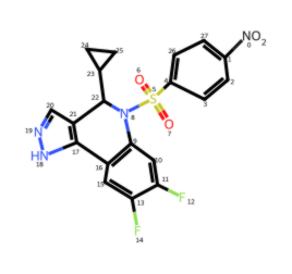 O=[N+]([O-])c1ccc(S(=O)(=O)N2c3cc(F)c(F)cc3-c3[nH]ncc3C2C2CC2)cc1